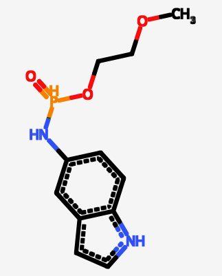 COCCO[PH](=O)Nc1ccc2[nH]ccc2c1